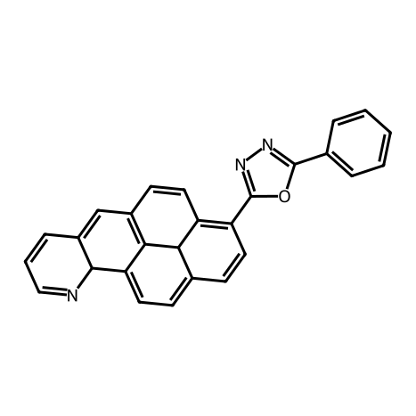 C1=CC2=CC3=C4C(=CC=C5C=CC(c6nnc(-c7ccccc7)o6)=C(C=C3)C54)C2N=C1